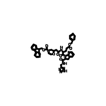 O=C(CC1CN(C(=O)OCC2c3ccccc3-c3ccccc32)CCO1)NC(CCC(=O)OCc1ccccc1)C(=O)N1c2ncccc2CC1C(=O)NCc1nn[nH]n1